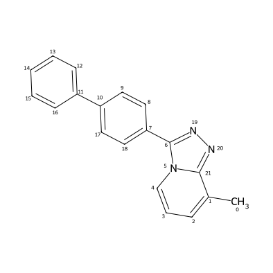 Cc1cccn2c(-c3ccc(-c4ccccc4)cc3)nnc12